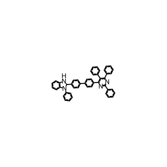 c1ccc(-c2nc(-c3ccccc3)c(-c3ccccc3)c(-c3ccc(-c4ccc(C5Nc6ccccc6N5c5ccccc5)cc4)cc3)n2)cc1